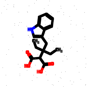 CCC(CC)(Cc1c[nH]c2ccccc12)C(C(=O)O)C(=O)O